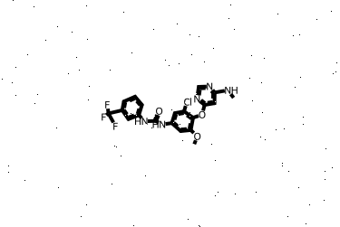 CNc1cc(Oc2c(Cl)cc(NC(=O)Nc3cccc(C(F)(F)F)c3)cc2OC)ncn1